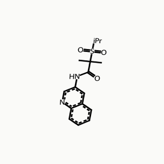 CC(C)S(=O)(=O)C(C)(C)C(=O)Nc1cnc2ccccc2c1